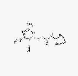 CSc1nc(N)nc(SCC(=O)Nc2ccccn2)c1C#N